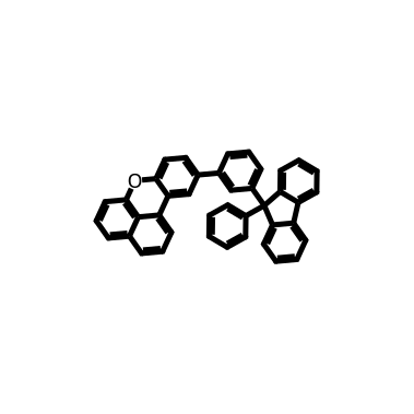 c1ccc(C2(c3cccc(-c4ccc5c(c4)-c4cccc6cccc(c46)O5)c3)c3ccccc3-c3ccccc32)cc1